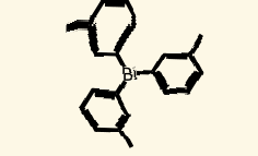 Cc1ccc[c]([Bi]([c]2cccc(C)c2)[c]2cccc(C)c2)c1